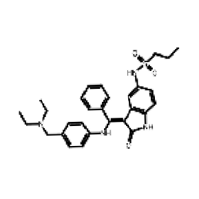 CCCS(=O)(=O)Nc1ccc2c(c1)/C(=C(/Nc1ccc(CN(CC)CC)cc1)c1ccccc1)C(=O)N2